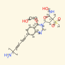 CC(C)(N)C#CC#Cc1ccc2c(=O)n(CCC(C)(C(=O)NO)S(C)(=O)=O)cnc2c1.O=CO